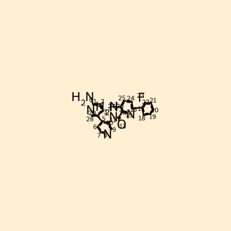 Nc1ccc(-c2ccncc2NC(=O)c2nc(-c3ccccc3F)ccc2N)cn1